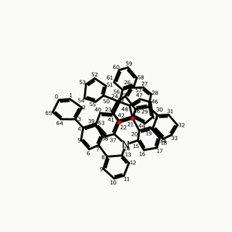 c1ccc(-c2ccc(-c3ccccc3N(c3ccccc3-c3cccc4cccc(-c5ccccc5)c34)c3cccc4c3-c3ccccc3C4(c3ccccc3)c3ccccc3)cc2)cc1